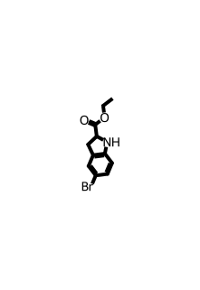 CCOC(=O)C1Cc2cc(Br)ccc2N1